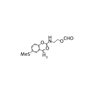 CSc1ccc(OC(=O)NCCOC=O)c(C)c1